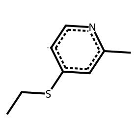 CCSc1[c]cnc(C)c1